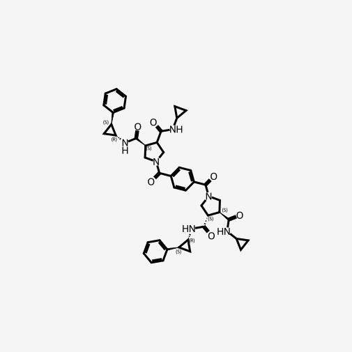 O=C(NC1CC1)C1CN(C(=O)c2ccc(C(=O)N3C[C@@H](C(=O)NC4CC4)[C@H](C(=O)N[C@@H]4C[C@H]4c4ccccc4)C3)cc2)C[C@H]1C(=O)N[C@@H]1C[C@H]1c1ccccc1